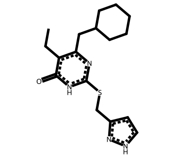 CCc1c(CC2CCCCC2)nc(SCc2cc[nH]n2)[nH]c1=O